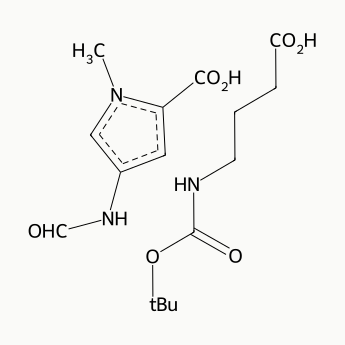 CC(C)(C)OC(=O)NCCCC(=O)O.Cn1cc(NC=O)cc1C(=O)O